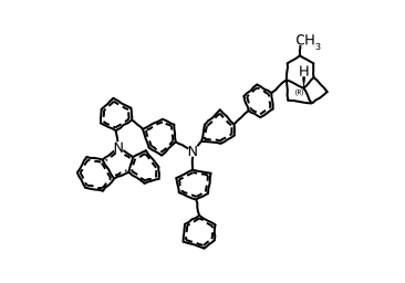 CC1CC2CC3CC(c4ccc(-c5ccc(N(c6ccc(-c7ccccc7)cc6)c6ccc(-c7ccccc7-n7c8ccccc8c8ccccc87)cc6)cc5)cc4)(C1)[C@H]23